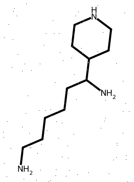 NCCCCCC(N)C1CCNCC1